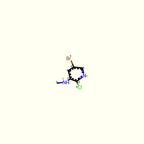 CNc1cc(Br)cnc1Cl